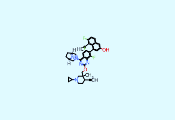 C#Cc1c(F)ccc2cc(O)cc(-c3c(F)cc4c(N5C[C@H]6CC[C@@H](C5)N6)nc(OCC5(C)CN(C6CC6)CCC5C#C)nc4c3F)c12